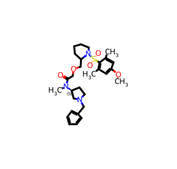 COc1cc(C)c(S(=O)(=O)N2CCCCC2COCC(=O)N(C)[C@H]2CCN(Cc3ccccc3)C2)c(C)c1